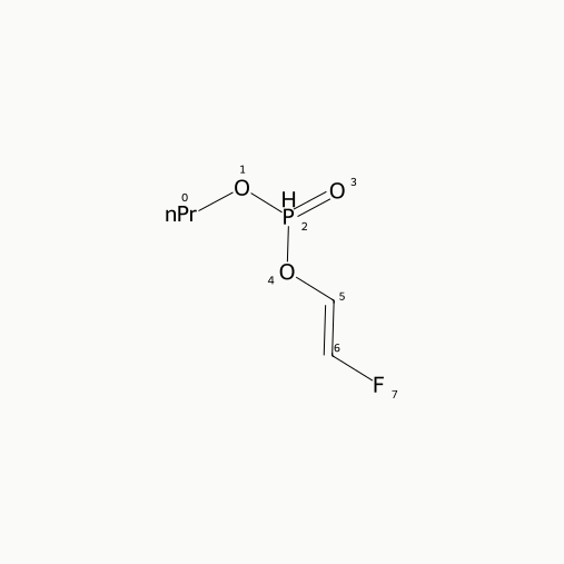 CCCO[PH](=O)OC=CF